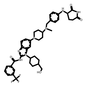 CN(Cc1ccc(NC2CCC(=O)NC2=O)cc1)C1CCN(c2ccc3nc(NC(=O)c4cccc(C(F)(F)F)c4)n(C4CCC(CO)CC4)c3c2)CC1